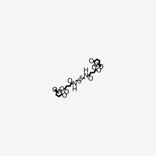 O=C(CCC(=O)ON1C(=O)CCC1=O)NCSSCNC(=O)CCC(=O)ON1C(=O)CCC1=O